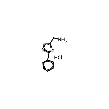 Cl.NCc1cnc(-c2ccccc2)s1